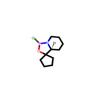 ClP1OC2(CCCC2)[C@@H]2CCCCN21